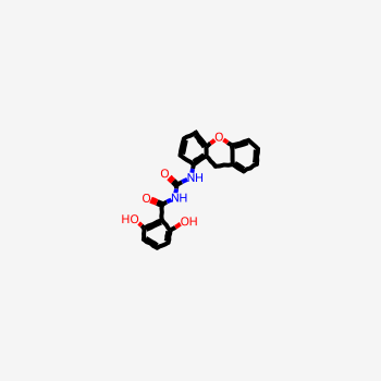 O=C(NC(=O)c1c(O)cccc1O)Nc1cccc2c1Cc1ccccc1O2